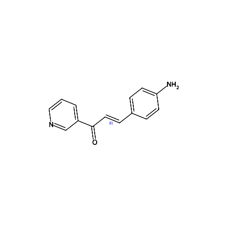 Nc1ccc(/C=C/C(=O)c2cccnc2)cc1